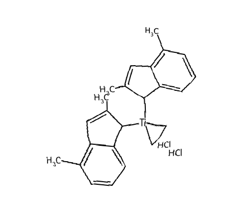 CC1=Cc2c(C)cccc2[CH]1[Ti]1([CH]2C(C)=Cc3c(C)cccc32)[CH2][CH2]1.Cl.Cl